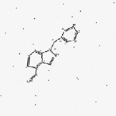 O=Cc1cccc2c1cnn2Cc1ccccc1